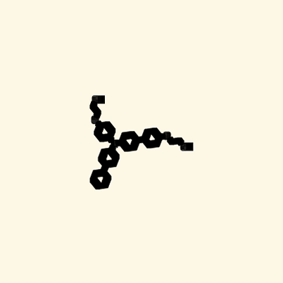 OCCOc1ccc(-c2ccc(N(c3ccc(OCCO)cc3)c3ccc(-c4ccccc4)cc3)cc2)cc1